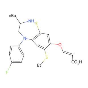 CCCCC1CN(c2ccc(F)cc2)c2cc(SCC)c(O/C=C/C(=O)O)cc2SN1